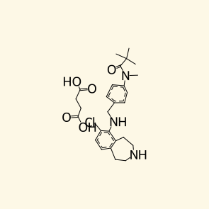 CN(C(=O)C(C)(C)C)c1ccc(CNc2c(Cl)ccc3c2CCNCC3)cc1.O=C(O)CCC(=O)O